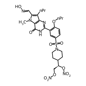 CCCOc1ccc(S(=O)(=O)N2CCC([C@H](CO[N+](=O)[O-])O[N+](=O)[O-])CC2)cc1-c1nc2c(CCC)c(/C=N/O)n(C)c2c(=O)[nH]1